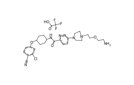 N#Cc1ccc(OC2CCC(NC(=O)c3ccc(N4CCN(CCOCCN)CC4)nn3)CC2)cc1Cl.O=C(O)C(F)(F)F